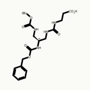 CC(C)(C)OC(=O)NC[C@@H](CNC(=O)NCCC(=O)O)NC(=O)OCc1ccccc1